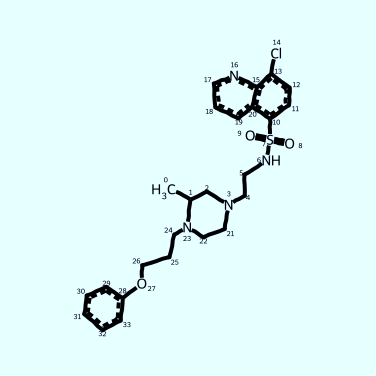 CC1CN(CCNS(=O)(=O)c2ccc(Cl)c3ncccc23)CCN1CCCOc1ccccc1